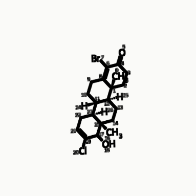 C[C@]12CCC(=O)C(Br)=C1CC[C@@H]1[C@@H]2CC[C@]2(C)C(O)C(Cl)=CC[C@@H]12